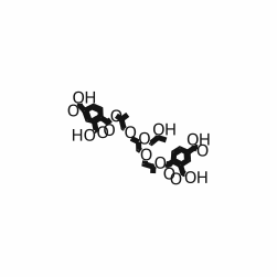 CC(O)COC(COCC(C)OC(=O)c1ccc(C(=O)O)cc1C(=O)O)COCC(C)OC(=O)c1ccc(C(=O)O)cc1C(=O)O